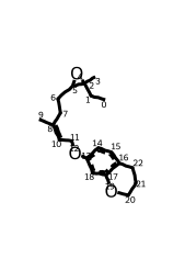 CCC1(C)OC1CCC(C)=CCOc1ccc2c(c1)OCCC2